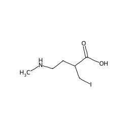 CNCCC(CI)C(=O)O